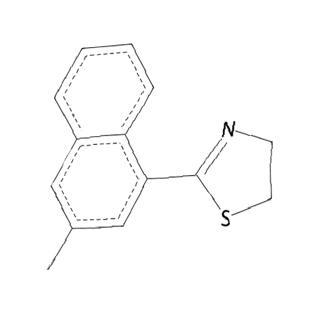 Cc1cc(C2=NCCS2)c2ccccc2c1